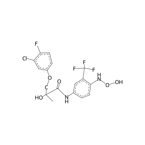 CC(O)(COc1ccc(F)c(Cl)c1)C(=O)Nc1ccc(NOO)c(C(F)(F)F)c1